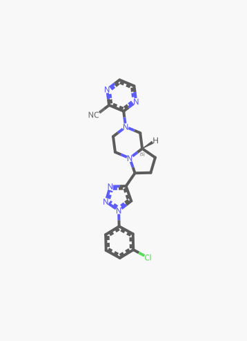 N#Cc1nccnc1N1CCN2C(c3cn(-c4cccc(Cl)c4)nn3)CC[C@H]2C1